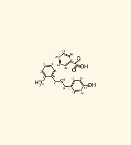 Cc1ccccc1CSCc1ccc(O)cc1.O=S(=O)(O)c1ccccc1